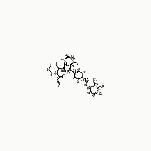 C=CC(=O)N1CCCCC1c1nc(-c2ccc(OCc3cccc(F)c3F)cc2)c2c(C)nccn12